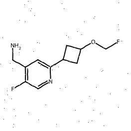 NCc1cc(C2CC(OCF)C2)ncc1F